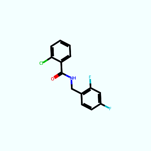 O=C(NCc1ccc(F)cc1F)c1ccccc1Cl